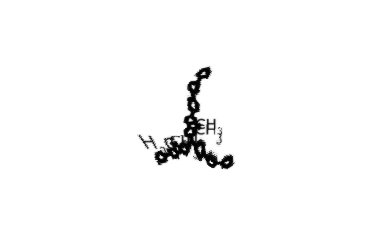 CC1(C)c2cc(-c3ccccc3)ccc2-c2ccc(N(c3ccc(-c4ccc(-c5ccccc5)cc4)cc3)c3ccc4c(c3)C(C)(C)c3cc(-c5ccc(-c6ccc(-c7ccccc7)cc6)cc5)ccc3-4)cc21